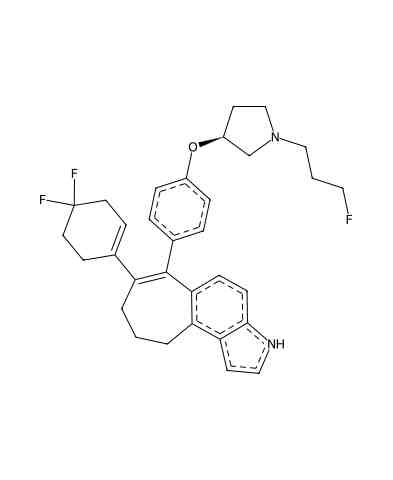 FCCCN1CC[C@H](Oc2ccc(C3=C(C4=CCC(F)(F)CC4)CCCc4c3ccc3[nH]ccc43)cc2)C1